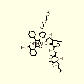 CCCCC(NC(=O)CNC(=O)C(=O)C(CCC)NC(=O)[C@@H]1C[C@@H](OCOCCOC)CN1C(=O)C(NC(=O)C1CCCCC1C(=O)O)C1CCCCC1)C(N)=O